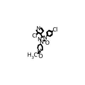 CC(=O)N1CCC(n2nc(-c3ccncc3Cl)n(-c3ccc(Cl)cc3)c2=O)CC1